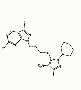 Cc1nn(C2CCCCC2)c(OCCCn2nc(Cl)c3cnc(Cl)nc32)c1[N+](=O)[O-]